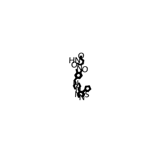 O=C1CCC(N2Cc3cc(CN4CCN(c5ncnc6sc7c(c56)CCC7)CC4)ccc3C2=O)C(=O)N1